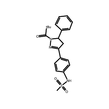 CC(C)(C)C(=O)N1N=C(c2ccc(NS(C)(=O)=O)cc2)CC1c1ccccc1